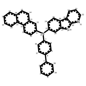 c1ccc(-c2ccc(N(c3ccc4c(ccc5ccccc54)c3)c3ccc4c(c3)sc3ncccc34)cc2)cc1